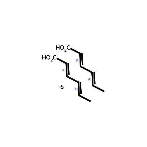 C/C=C/C=C/C(=O)O.C/C=C/C=C/C(=O)O.[S]